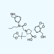 CCCCN(C(=O)CN1C[C@H](c2cc(CO)c3c(c2)OCO3)[C@@H](C(=O)O)[C@@H]1CC(C)(C)C1OCCO1)c1cccc(CN)c1